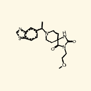 COCCN1C(=O)NC2(CCN(C(C)c3ccc4scnc4c3)CC2)C1=O